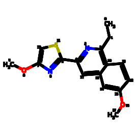 CCc1nc(-c2nc(OC)cs2)cc2cc(OC)ccc12